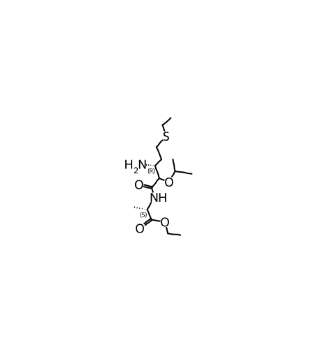 CCOC(=O)[C@H](C)NC(=O)C(OC(C)C)[C@H](N)CCSCC